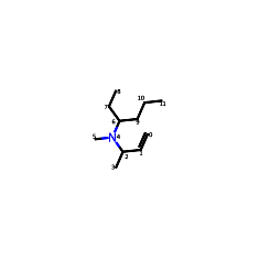 C=CC(C)N(C)C(CC)CCC